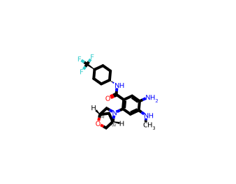 CNc1cc(N2C[C@@H]3C[C@H]2CO3)c(C(=O)N[C@H]2CC[C@H](C(F)(F)F)CC2)cc1N